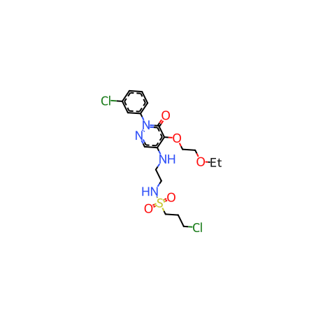 CCOCCOc1c(NCCNS(=O)(=O)CCCCl)cnn(-c2cccc(Cl)c2)c1=O